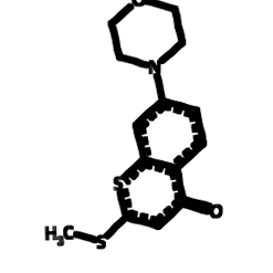 CSc1cc(=O)c2ccc(N3CCOCC3)cc2s1